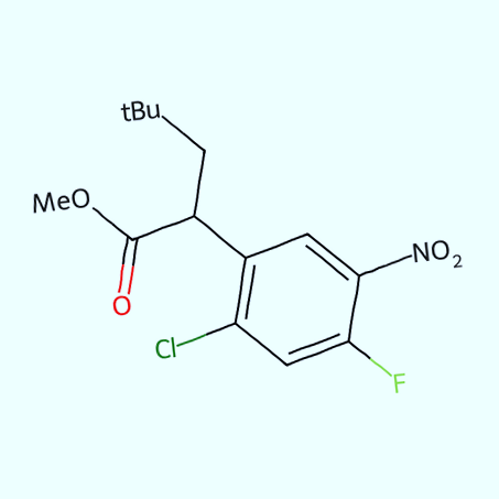 COC(=O)C(CC(C)(C)C)c1cc([N+](=O)[O-])c(F)cc1Cl